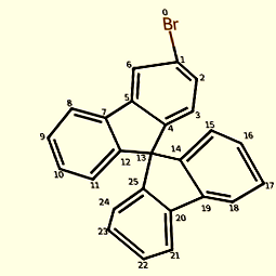 Brc1ccc2c(c1)-c1ccccc1C21c2ccccc2-c2ccccc21